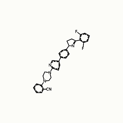 N#Cc1ccccc1N1CCN(c2ccc(-c3ccc(C4CCC(c5c(F)cccc5F)=N4)cc3)cn2)CC1